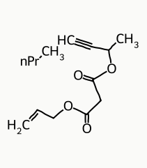 C#CC(C)OC(=O)CC(=O)OCC=C.CCCC